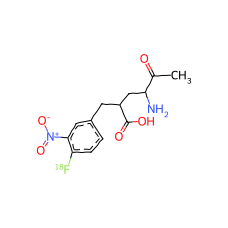 CC(=O)C(N)CC(Cc1ccc([18F])c([N+](=O)[O-])c1)C(=O)O